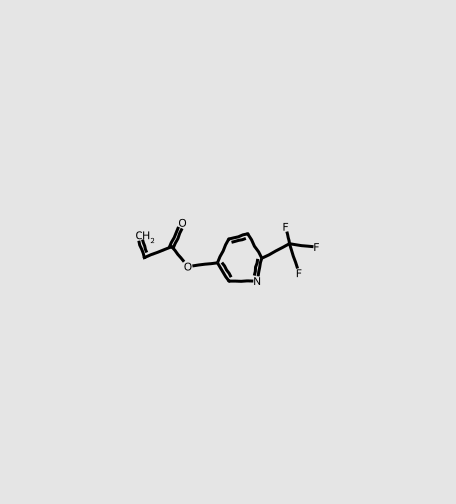 C=CC(=O)Oc1ccc(C(F)(F)F)nc1